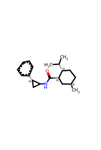 CC(C)[C@@H]1CC[C@@H](C)C[C@H]1C(=O)NC1C[C@@H]1c1ccccc1